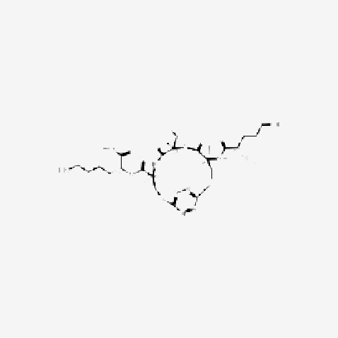 NCCCC[C@H](NC(=O)[C@@H]1CSc2nnc(nn2)SC[C@H](NC(=O)[C@@H](N)CCCO)C(=O)N[C@@H](CO)C(=O)N1)C(=O)O